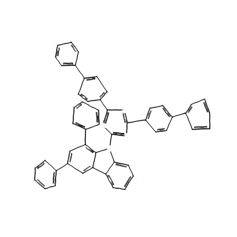 c1ccc(-c2ccc(-c3nc(-c4ccc(-c5ccccc5)cc4)nc(-n4c5ccccc5c5cc(-c6ccccc6)cc(-c6ccccc6)c54)n3)cc2)cc1